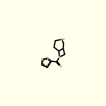 O=C(c1ccon1)N1CC2CNCCC21